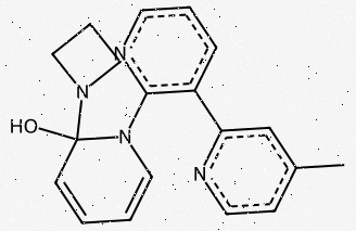 Cc1ccnc(-c2cccnc2N2C=CC=CC2(O)N2CCC2)c1